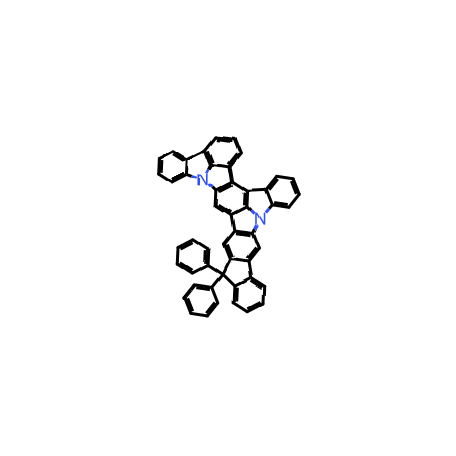 c1ccc(C2(c3ccccc3)c3ccccc3-c3cc4c(cc32)c2cc3c(c5cccc6c7ccccc7n3c65)c3c5ccccc5n4c23)cc1